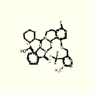 Cn1nnc(COc2ccc(Cl)c3c2[C@@H](CN2Cc4ccccc4C2=O)N(C(=O)C2CCCC[C@H]2C(=O)O)CC3)c1C(F)(F)F